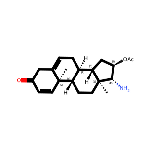 CC(=O)O[C@@H]1C[C@H]2[C@@H]3CC=C4CC(=O)C=C[C@]4(C)[C@H]3CC[C@]2(C)[C@H]1N